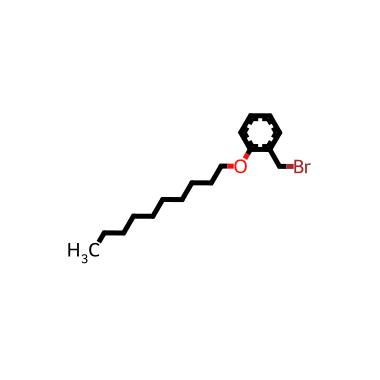 CCCCCCCCCCOc1ccccc1CBr